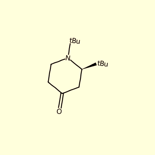 CC(C)(C)[C@H]1CC(=O)CCN1C(C)(C)C